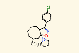 O=C(O)C1CCCCC2C(c3ccc(Cl)cc3)=NOC2(N2CCCC2)C1